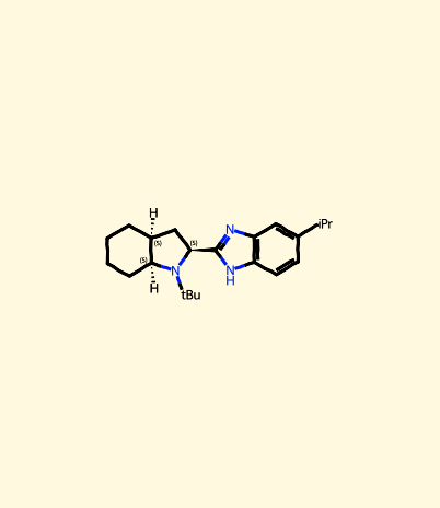 CC(C)c1ccc2[nH]c([C@@H]3C[C@@H]4CCCC[C@@H]4N3C(C)(C)C)nc2c1